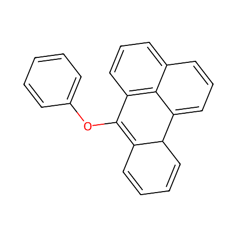 C1=CC2=C(Oc3ccccc3)c3cccc4cccc(c34)C2C=C1